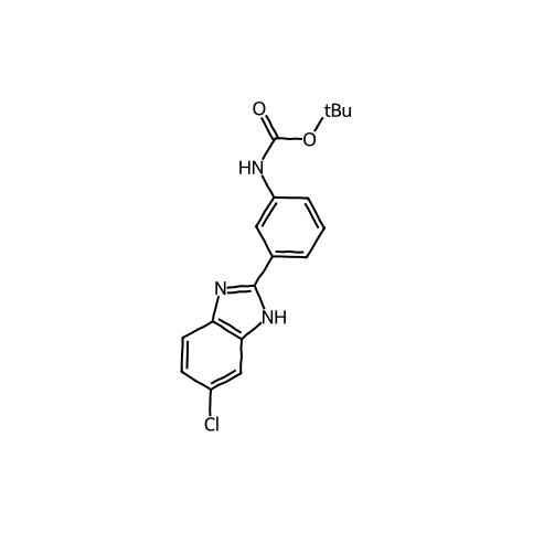 CC(C)(C)OC(=O)Nc1cccc(-c2nc3ccc(Cl)cc3[nH]2)c1